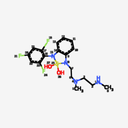 CNCCN(C)CCN1c2ccccc2N(c2c(F)cc(F)cc2F)S1(O)O